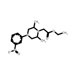 CCOC(=O)CN1C(C)CN(c2cccc([N+](=O)[O-])c2)CC1C